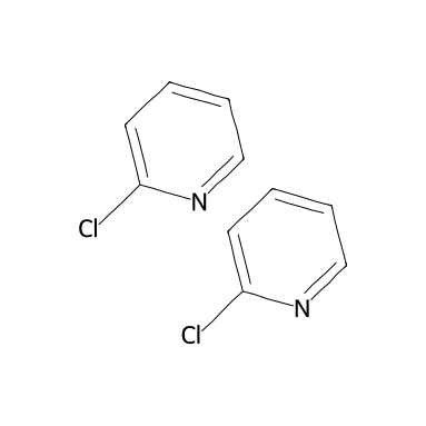 Clc1ccccn1.Clc1ccccn1